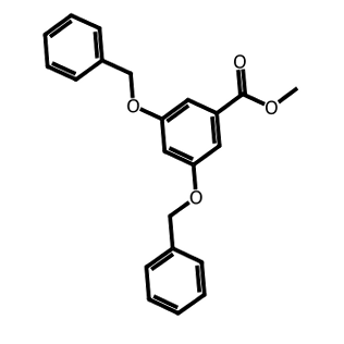 COC(=O)c1cc(OCc2ccccc2)cc(OCc2ccccc2)c1